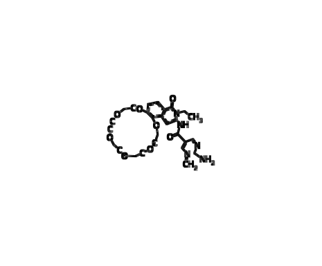 C=N/C=C(\C=N/CN)C(=O)Nc1cc2c3c(ccc2c(=O)n1CC)OCCOCCOCCOCCOCCO3